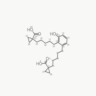 O=C(O)C1(CCCCCc2cccc(O)c2CCCCCC2(C(=O)O)CC2)CC1